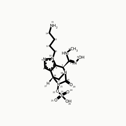 CN/C(=N\O)[C@@H]1c2c(cnn2CCCCN)[C@@H]2CN1C(=O)N2OS(=O)(=O)O